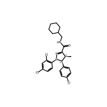 C[C@@H]1C(C(=O)NCC2CCCCC2)=NN(c2ccc(Cl)cc2Cl)[C@@H]1c1ccc(Cl)cc1